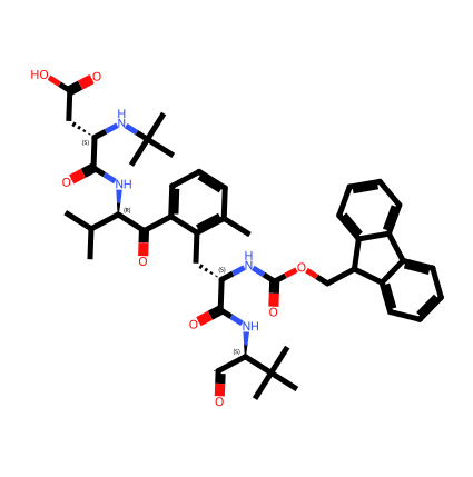 Cc1cccc(C(=O)[C@H](NC(=O)[C@H](CC(=O)O)NC(C)(C)C)C(C)C)c1C[C@H](NC(=O)OCC1c2ccccc2-c2ccccc21)C(=O)N[C@H]([C]=O)C(C)(C)C